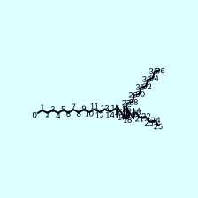 CCCCCCCCCCCCCCCCn1cc[n+](CCCCCC)c1CCCCCCCCCC